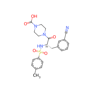 Cc1ccc(S(=O)(=O)N[C@@H](Cc2cccc(C#N)c2)C(=O)N2CCN(C(=O)O)CC2)cc1